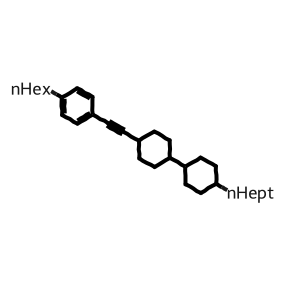 CCCCCCCC1CCC(C2CCC(C#Cc3ccc(CCCCCC)cc3)CC2)CC1